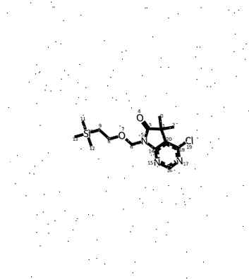 CC1(C)C(=O)N(COCC[Si](C)(C)C)c2ncnc(Cl)c21